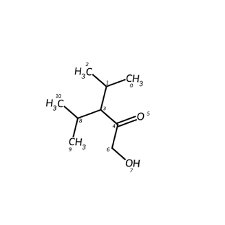 CC(C)C(C(=O)CO)C(C)C